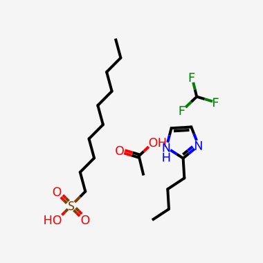 CC(=O)O.CCCCCCCCCCS(=O)(=O)O.CCCCc1ncc[nH]1.FC(F)F